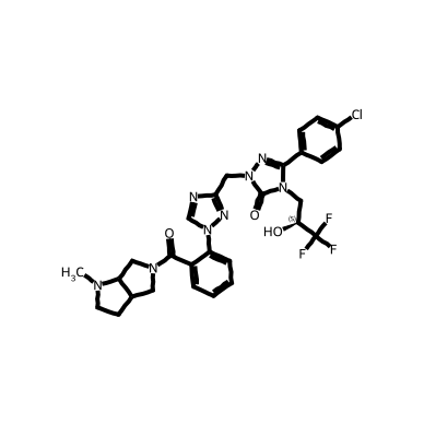 CN1CCC2CN(C(=O)c3ccccc3-n3cnc(Cn4nc(-c5ccc(Cl)cc5)n(C[C@H](O)C(F)(F)F)c4=O)n3)CC21